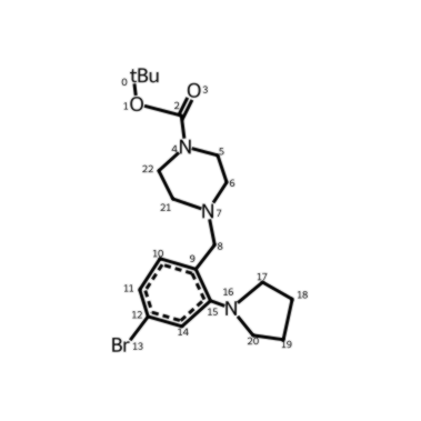 CC(C)(C)OC(=O)N1CCN(Cc2ccc(Br)cc2N2CCCC2)CC1